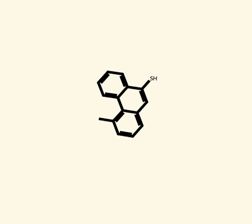 Cc1cccc2cc(S)c3ccccc3c12